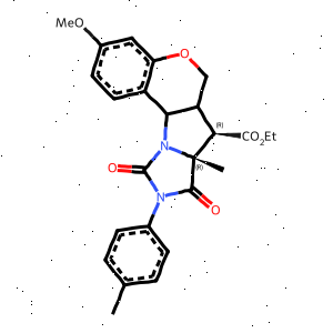 CCOC(=O)[C@@H]1C2COc3cc(OC)ccc3C2N2C(=O)N(c3ccc(C)cc3)C(=O)[C@@]12C